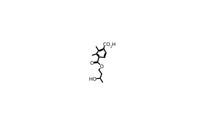 Cc1c(C(=O)O)ccc(C(=O)OCCC(C)O)c1C